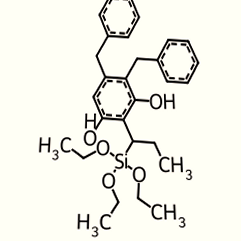 CCO[Si](OCC)(OCC)C(CC)c1c(O)cc(Cc2ccccc2)c(Cc2ccccc2)c1O